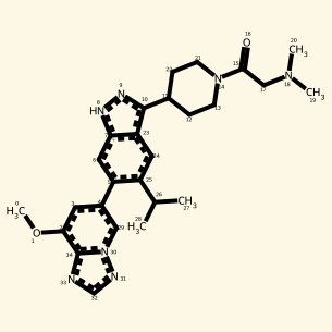 COc1cc(-c2cc3[nH]nc(C4CCN(C(=O)CN(C)C)CC4)c3cc2C(C)C)cn2ncnc12